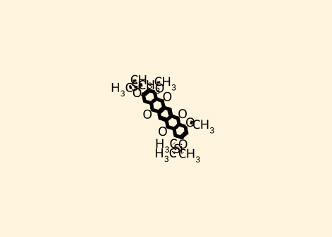 COC1C=C(O[Si](C)(C)C)CC2C(=O)c3cc4c(cc3C(=O)C12)C(=O)C1C(OC)C=C(O[Si](C)(C)C)CC1C4=O